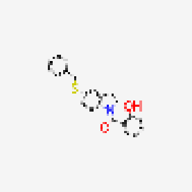 O=C(c1ccccc1O)N1CCc2cc(SCc3ccccc3)ccc21